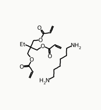 C=CC(=O)OCC(CC)(COC(=O)C=C)COC(=O)C=C.NCCCCCCN